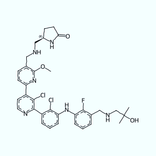 COc1nc(-c2ccnc(-c3cccc(Nc4cccc(CNCC(C)(C)O)c4F)c3Cl)c2Cl)ccc1CNC[C@H]1CCC(=O)N1